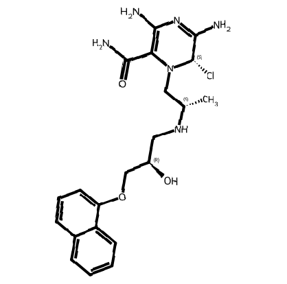 C[C@@H](CN1C(C(N)=O)=C(N)N=C(N)[C@@H]1Cl)NC[C@@H](O)COc1cccc2ccccc12